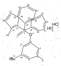 Cl.Cl.[CH2]=[Ti]([O]c1cc(C)cc(C(C)(C)C)c1)([C]1=C(C)C=CC1)([c]1ccccc1)[c]1ccccc1